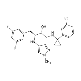 CCc1cccc(C2(NC[C@@H](O)[C@H](Cc3cc(F)cc(F)c3)Nc3cnn(C)c3)CC2)c1